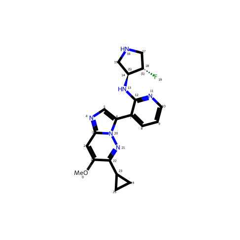 COc1cc2ncc(-c3cccnc3N[C@H]3CNC[C@@H]3F)n2nc1C1CC1